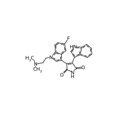 CN(C)CCn1cc(C2=C(c3c[nH]c4ccccc34)C(=O)NC2=O)c2cc(F)ccc21